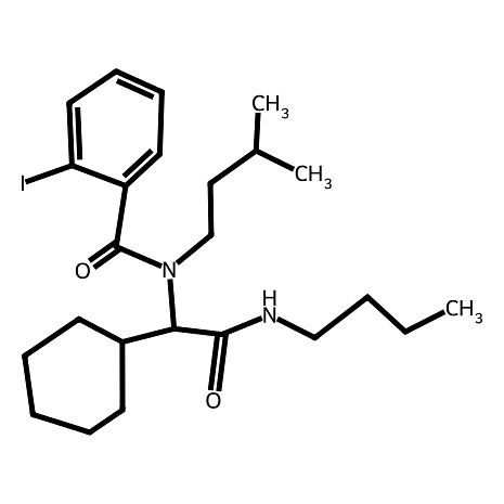 CCCCNC(=O)C(C1CCCCC1)N(CCC(C)C)C(=O)c1ccccc1I